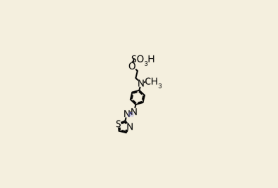 CN(CCOS(=O)(=O)O)c1ccc(/N=N/c2nccs2)cc1